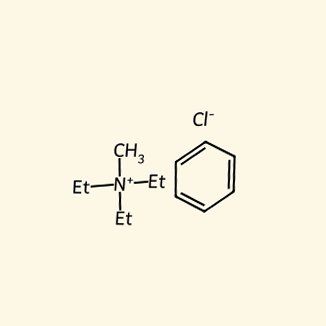 CC[N+](C)(CC)CC.[Cl-].c1ccccc1